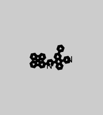 c1ccc(-c2ccc3c(-c4ccc(-c5ccc6c(c5)C5(c7ccccc7-c7ccccc75)c5ccccc5-6)nc4)c4ccccc4c(-c4ccncc4)c3c2)cc1